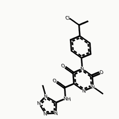 CC(Cl)c1ccc(-n2c(=O)c(C(=O)Nc3nnnn3C)nn(C)c2=O)cc1